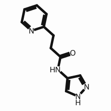 O=C(CCc1ccccn1)Nc1cn[nH]c1